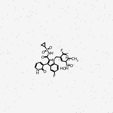 C=C(F)/C(=C\C(CC)[NH+]([O-])O)Cn1c(C(=O)NS(=O)(=O)C2CC2)c(-c2ccc[nH]c2=O)c2cc(F)ccc21